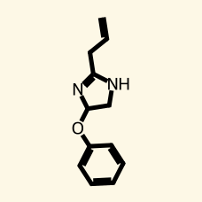 C=CCC1=NC(Oc2ccccc2)CN1